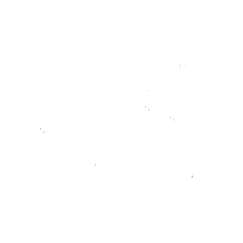 CCCOc1ccc(NC(=O)C(NC(C)=O)C(C)C)cc1-c1nc(CC)c(CC)c(=O)[nH]1